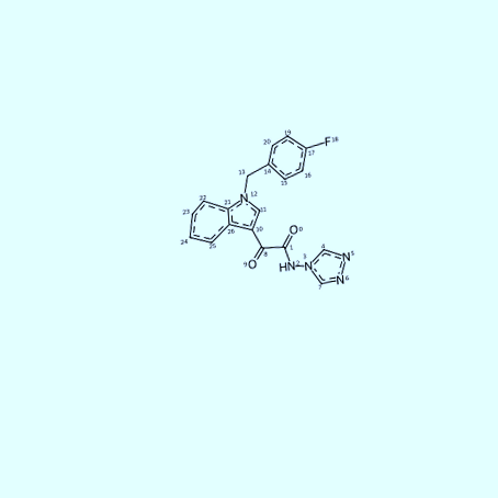 O=C(Nn1cnnc1)C(=O)c1cn(Cc2ccc(F)cc2)c2ccccc12